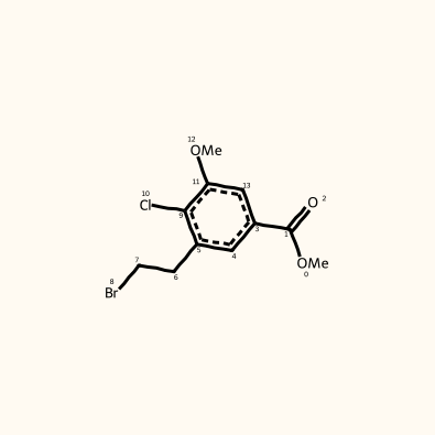 COC(=O)c1cc(CCBr)c(Cl)c(OC)c1